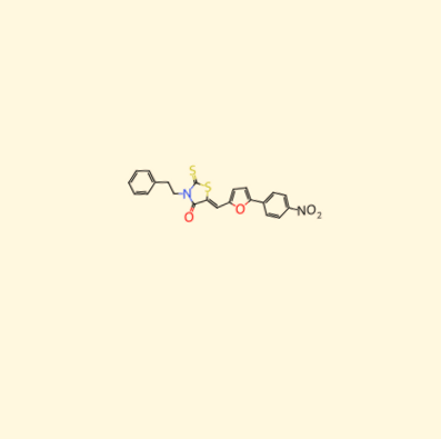 O=C1C(=Cc2ccc(-c3ccc([N+](=O)[O-])cc3)o2)SC(=S)N1CCc1ccccc1